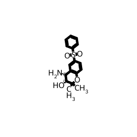 CC1(C)Oc2ccc(S(=O)(=O)c3ccccc3)cc2[C@@H](N)[C@@H]1O